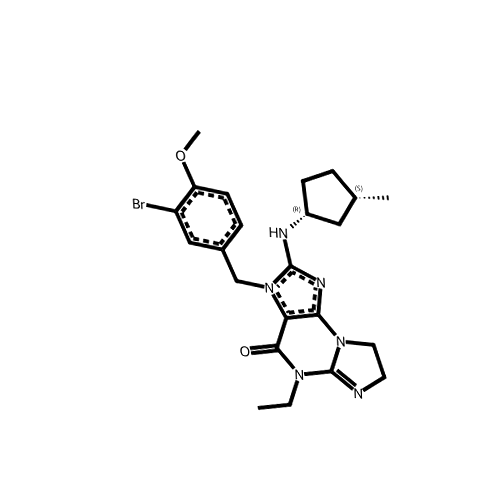 CCN1C(=O)c2c(nc(N[C@@H]3CC[C@H](C)C3)n2Cc2ccc(OC)c(Br)c2)N2CCN=C12